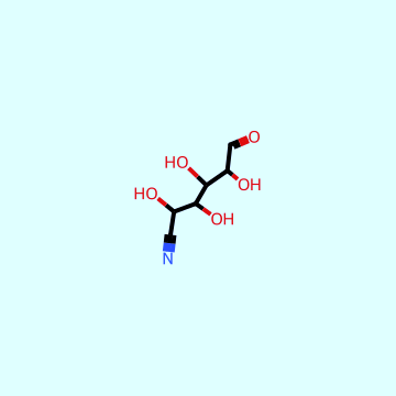 N#CC(O)C(O)C(O)C(O)C=O